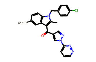 COc1ccc2c(c1)c(C(=O)c1cnn(-c3cccnn3)c1)c(C)n2Cc1ccc(Cl)cc1